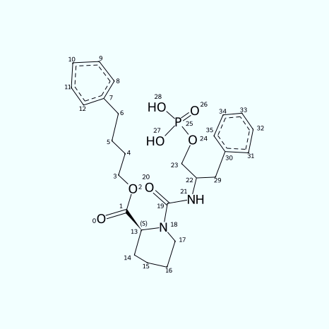 O=C(OCCCCc1ccccc1)[C@@H]1CCCCN1C(=O)NC(COP(=O)(O)O)Cc1ccccc1